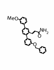 COc1cccc(-c2ccc(-c3cccc(OCc4ccccc4)c3)c(/C=C/C(N)=O)c2)c1